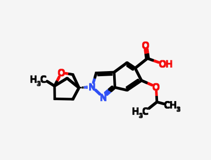 CC(C)Oc1cc2nn([C@]34CCC(C)(C3)OC4)cc2cc1C(=O)O